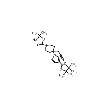 CC(C)(C)OC(=O)N1CCC(CC#N)(n2cc(B3OC(C)(C)C(C)(C)O3)cn2)CC1